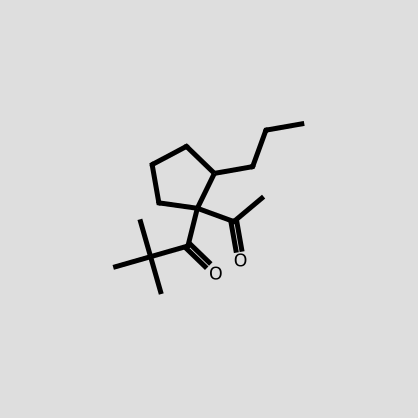 CCCC1CCCC1(C(C)=O)C(=O)C(C)(C)C